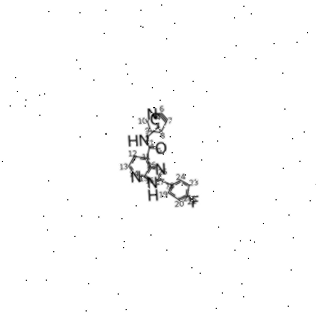 O=C(NC1CN2C#CC1CC2)c1ccnc2[nH]c(-c3ccc(F)cc3)nc12